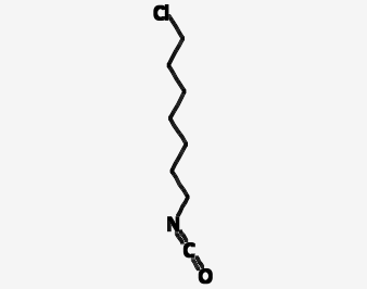 O=C=NCCCCCCCCl